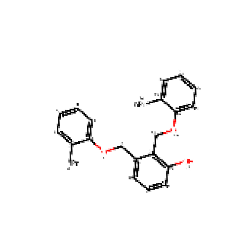 CCCc1ccccc1OCc1cccc(O)c1COc1ccccc1CCC